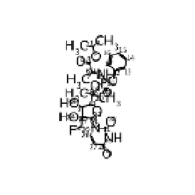 CC(C)OC(=O)[C@H](C)N[P@](=O)(Oc1ccccc1)OC(C)(C)[C@H]1O[C@@H](n2ccc(=O)[nH]c2=O)[C@@](O)(CF)C1O